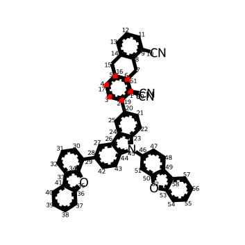 N#Cc1cccc2c1C1c3c(C#N)cccc3C2c2ccc(-c3ccc4c(c3)c3cc(-c5cccc6c5oc5ccccc56)ccc3n4-c3ccc4c(c3)oc3ccccc34)c(C#N)c21